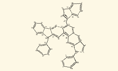 c1ccc(-n2ccc3cc4cc(-c5csc6ccccc56)c5cc6c7ccccc7n(-c7ccccc7)c6cc5c4cc32)cc1